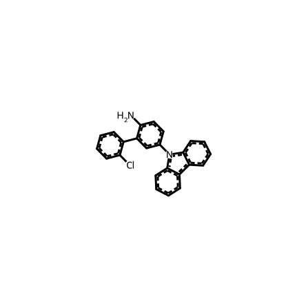 Nc1ccc(-n2c3ccccc3c3ccccc32)cc1-c1ccccc1Cl